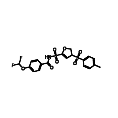 Cc1ccc(S(=O)(=O)C2C=C(S(=O)(=O)NC(=O)c3ccc(OC(F)F)cc3)OC2)cc1